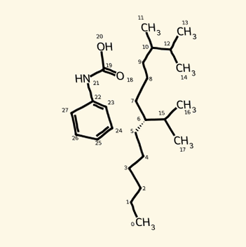 CCCCCC[C@H](CCCC(C)C(C)C)C(C)C.O=C(O)Nc1ccccc1